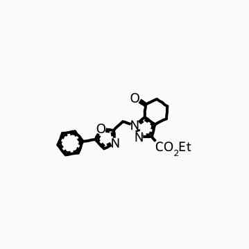 CCOC(=O)c1nn(Cc2ncc(-c3ccccc3)o2)c2c1CCCC2=O